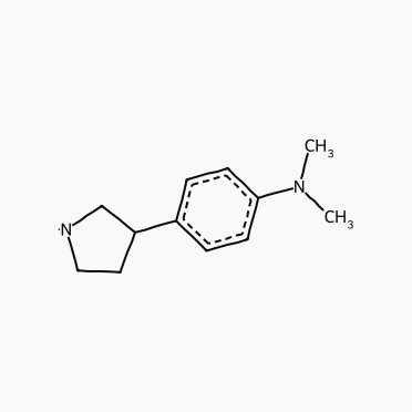 CN(C)c1ccc(C2CC[N]C2)cc1